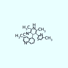 [C-]#[N+]C1=C(C)NC(C)=C(c2nc(C)cs2)C1c1cccc2ncc(C)cc12